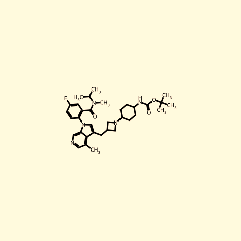 Cc1cncc2c1c(CC1CN(C3CCC(NC(=O)OC(C)(C)C)CC3)C1)cn2-c1ccc(F)cc1C(=O)N(C)C(C)C